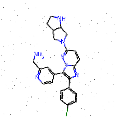 NCc1cc(-c2c(-c3ccc(F)cc3)nc3ccc(N4CC5CCNC5C4)nn23)ccn1